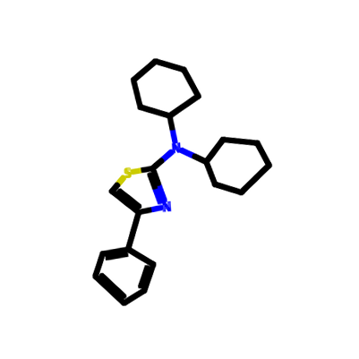 c1ccc(-c2csc(N(C3CCCCC3)C3CCCCC3)n2)cc1